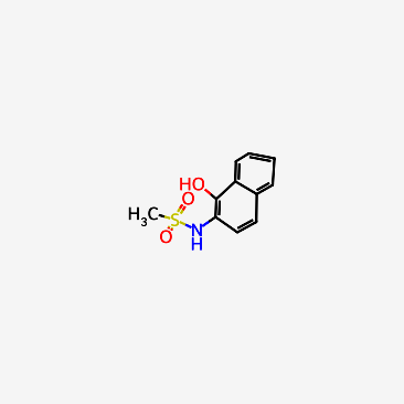 CS(=O)(=O)Nc1ccc2ccccc2c1O